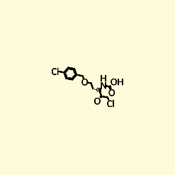 O=C(O)N[C@@H](CCOCc1ccc(Cl)cc1)C(=O)CCl